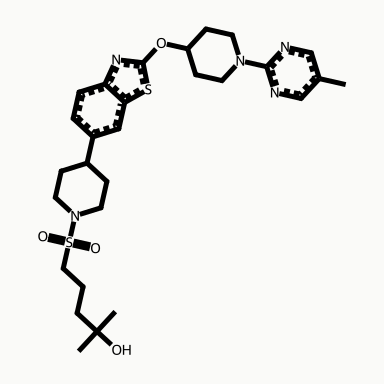 Cc1cnc(N2CCC(Oc3nc4ccc(C5CCN(S(=O)(=O)CCCC(C)(C)O)CC5)cc4s3)CC2)nc1